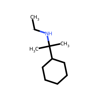 C[CH]NC(C)(C)C1CCCCC1